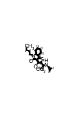 CCCCn1c(=O)c2c(OC)c(C(=O)NC3CC3)sc2c2ccccc21